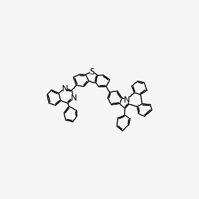 c1ccc(-c2nc(-c3ccc4sc5ccc(-c6ccc7c(-c8ccccc8)c8c9ccccc9c9ccccc9n8c7c6)cc5c4c3)nc3ccccc23)cc1